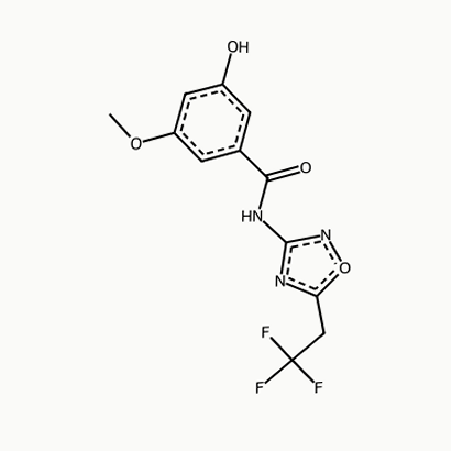 COc1cc(O)cc(C(=O)Nc2noc(CC(F)(F)F)n2)c1